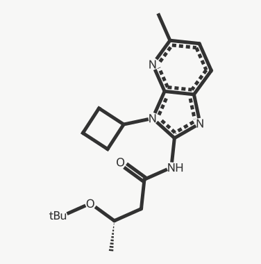 Cc1ccc2nc(NC(=O)C[C@H](C)OC(C)(C)C)n(C3CCC3)c2n1